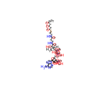 CCCC(=O)CC(=O)CC(=O)SCCNC(=O)CCNC(=O)C(O)C(C)(C)COP(=O)(O)OP(=O)(O)OC[C@H]1O[C@@H](n2cnc3c(N)ncnc32)[C@H](O)[C@@H]1OP(=O)(O)O